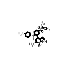 Cc1cc(-c2cc(S(=O)(=O)C(C)C)ccc2N[C@H]2CC[C@H](C)CC2)c2cc[nH]c2[n+]1[O-]